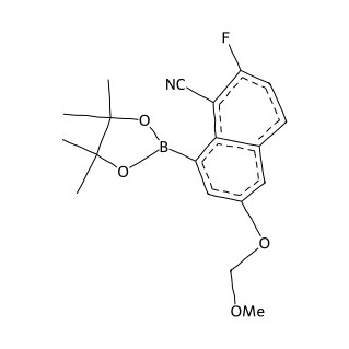 COCOc1cc(B2OC(C)(C)C(C)(C)O2)c2c(C#N)c(F)ccc2c1